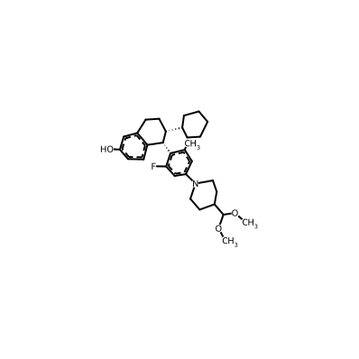 COC(OC)C1CCN(c2cc(C)c([C@@H]3c4ccc(O)cc4CC[C@@H]3C3CCCCC3)c(F)c2)CC1